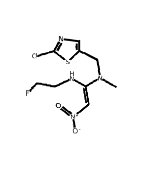 CN(Cc1cnc(Cl)s1)C(=C[N+](=O)[O-])NCCF